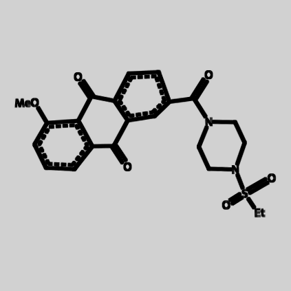 CCS(=O)(=O)N1CCN(C(=O)c2ccc3c(c2)C(=O)c2cccc(OC)c2C3=O)CC1